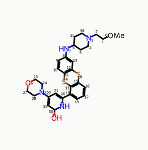 COCCN1CCC(Nc2ccc3c(c2)Sc2cccc(C4=CC(N5CCOCC5)=CC(O)N4)c2S3)CC1